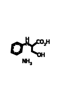 N.O=C(O)C(CO)Nc1ccccc1